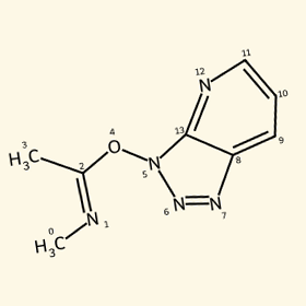 CN=C(C)On1nnc2cccnc21